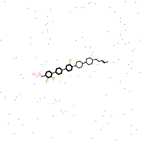 BCc1ccc(-c2ccc(-c3ccc(C4CCC(C5CCC(CC/C=C/C)CC5)CC4)c(F)c3)cc2)c(F)c1F